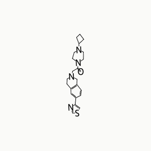 O=C(CN1CCc2cc(-c3cscn3)ccc2C1)N1CCN(C2CCC2)CC1